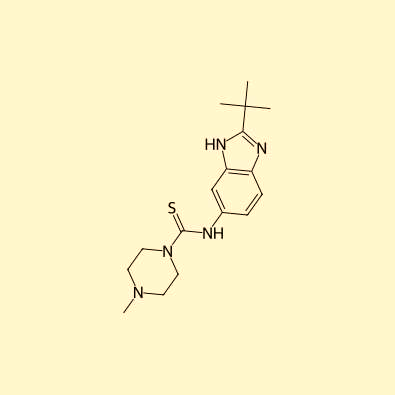 CN1CCN(C(=S)Nc2ccc3nc(C(C)(C)C)[nH]c3c2)CC1